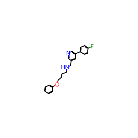 Fc1ccc(-c2cncc(CNCCCCOc3ccccc3)c2)cc1